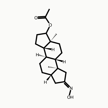 CC(=O)OC1CC[C@H]2[C@@H]3CC[C@H]4C/C(=N\O)C[C@]4(C)[C@H]3CC[C@]12C